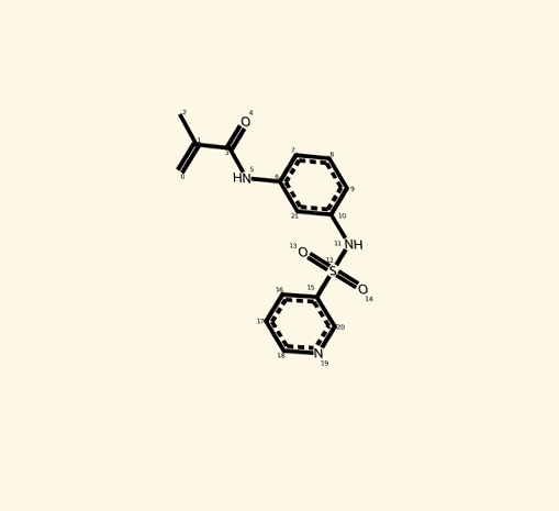 C=C(C)C(=O)Nc1cccc(NS(=O)(=O)c2cccnc2)c1